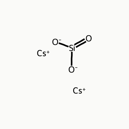 O=[Si]([O-])[O-].[Cs+].[Cs+]